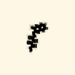 CCNC(=O)NC(=O)CSc1nc2ccccc2nc1C